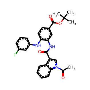 CC(=O)n1cc(C(=O)Nc2cc(C(=O)OC(C)(C)C)ccc2Nc2cccc(F)c2)c2ccccc21